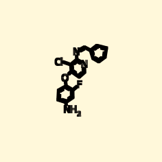 Nc1ccc(Oc2ccnc(/N=C\c3ccccc3)c2Cl)c(F)c1